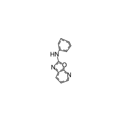 c1ccc(Nc2nc3cccnc3o2)cc1